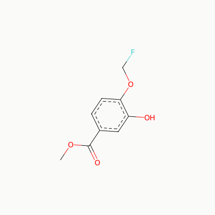 COC(=O)c1ccc(OCF)c(O)c1